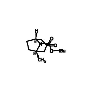 CC(C)(C)OC(=O)N1[C@@H]2CC[C@@]1(C)CC(=O)C2